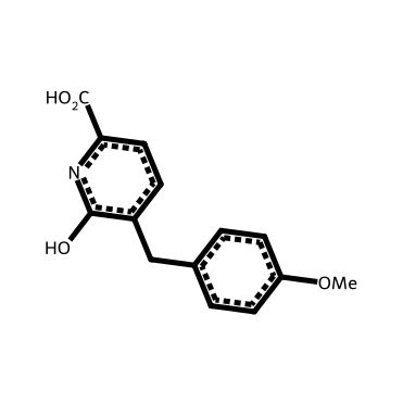 COc1ccc(Cc2ccc(C(=O)O)nc2O)cc1